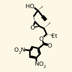 C#C[C@](C)(O)C[C@H]1O[C@@H]1[C@H](C)[C@H](CC)OC(=O)c1cc([N+](=O)[O-])cc([N+](=O)[O-])c1